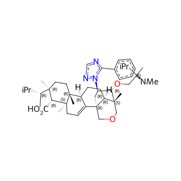 CN[C@@](C)(CO[C@H]1[C@H](n2ncnc2-c2ccccc2)C[C@@]23COC[C@]1(C)[C@@H]2CC[C@H]1C3=CC[C@@]2(C)[C@H](C(=O)O)[C@@](C)([C@H](C)C(C)C)CC[C@]12C)C(C)C